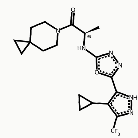 C[C@@H](Nc1nnc(-c2[nH]nc(C(F)(F)F)c2C2CC2)o1)C(=O)N1CCC2(CC1)CC2